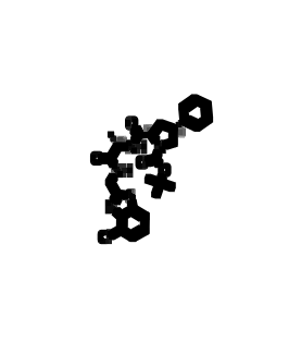 C[C@H](NC(=O)[C@H]1C[C@H](c2ccccc2)CN1C(=O)OC(C)(C)C)C(=O)NCc1nc2c(Cl)cccc2s1